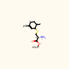 CCCCCCOC(=O)[C@@H](N)CSC1C=C(C(C)C)CCC1C